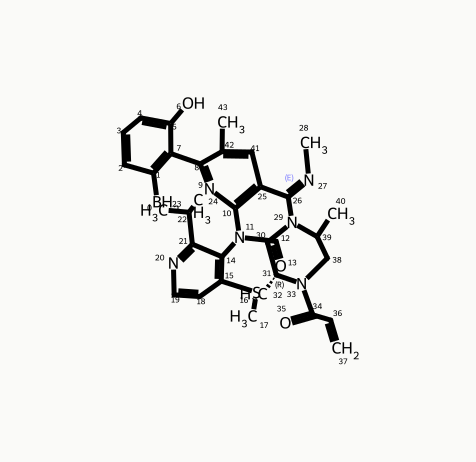 Bc1cccc(O)c1-c1nc(N(C=O)c2c(SC)ccnc2C(C)C)c(/C(=N\C)N2C[C@@H](C)N(C(=O)C=C)CC2C)cc1C